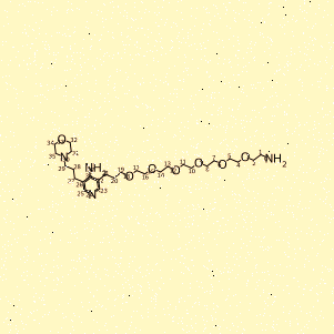 NCCOCCOCCOCCOCCOCCOCCCc1[c]ncc(CCCN2CCOCC2)c1N